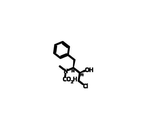 CN(C(=O)O)[C@@H](Cc1ccccc1)[C@@H](O)CCl